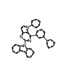 c1ccc(-c2cccc(-c3nc(-n4c5ccccc5c5ccccc54)nc4ccn(-c5ccccc5)c34)c2)cc1